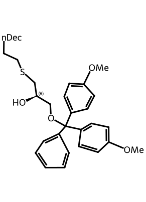 CCCCCCCCCCCCSC[C@H](O)COC(c1ccccc1)(c1ccc(OC)cc1)c1ccc(OC)cc1